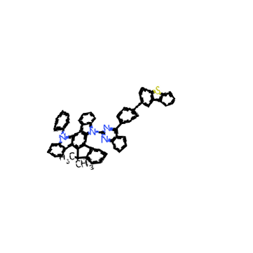 CC1(C)c2ccccc2-c2c1c1c3ccccc3n(-c3ccccc3)c1c1c3ccccc3n(-c3nc(-c4ccc(-c5ccc6sc7ccccc7c6c5)cc4)c4ccccc4n3)c21